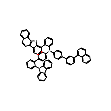 c1cc(-c2ccc(N(c3ccc(-c4ccccc4-n4c5ccccc5c5ccccc54)cc3)c3ccccc3-c3cccc4c3oc3c5ccccc5ccc43)cc2)cc(-c2cccc3ccccc23)c1